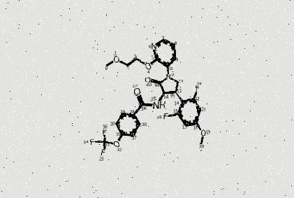 COCCOc1ncccc1N1C[C@@H](c2c(F)cc(OC)cc2F)C(NC(=O)c2ccc(OC(F)(F)F)cc2)C1=O